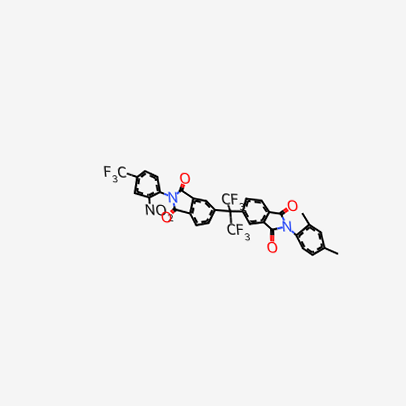 Cc1ccc(N2C(=O)c3ccc(C(c4ccc5c(c4)C(=O)N(c4ccc(C(F)(F)F)cc4[N+](=O)[O-])C5=O)(C(F)(F)F)C(F)(F)F)cc3C2=O)c(C)c1